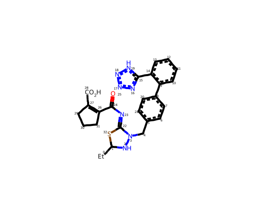 CCC1NN(Cc2ccc(-c3ccccc3-c3nnn[nH]3)cc2)C(=NC(=O)C2=C(C(=O)O)CCC2)S1